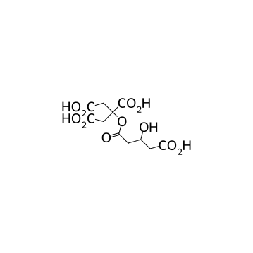 O=C(O)CC(O)CC(=O)OC(CC(=O)O)(CC(=O)O)C(=O)O